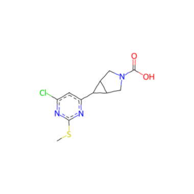 CSc1nc(Cl)cc(C2C3CN(C(=O)O)CC32)n1